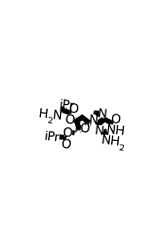 CC(C)C(=O)OC[C@H]1O[C@@H](n2cnc3c(=O)[nH]c(N)nc32)C[C@H]1OC(=O)[C@@H](N)C(C)C